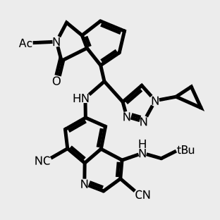 CC(=O)N1Cc2cccc(C(Nc3cc(C#N)c4ncc(C#N)c(NCC(C)(C)C)c4c3)c3cn(C4CC4)nn3)c2C1=O